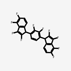 FC1=C(F)C(c2[c]cc(C3C(F)=C(F)c4c3ccc(F)c4F)c(F)c2F)c2ccc(F)c(F)c21